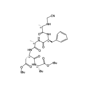 CCC(C)[C@H](NC(=O)[C@H](CC(=O)OC(C)(C)C)NC(=O)[C@H](C)NC(=O)[C@H](Cc1ccccc1)NC(=O)[C@H](C)NCC#N)C(=O)OC(C)(C)C